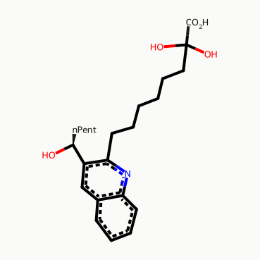 CCCCC[C@H](O)c1cc2ccccc2nc1CCCCCCC(O)(O)C(=O)O